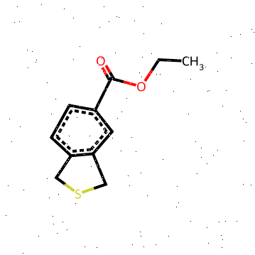 CCOC(=O)c1ccc2c(c1)CSC2